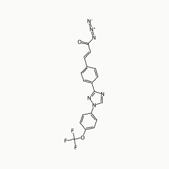 [N-]=[N+]=NC(=O)C=Cc1ccc(-c2ncn(-c3ccc(OC(F)(F)F)cc3)n2)cc1